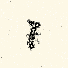 Br.CCCCc1nc(C)n(Cc2nc3ccccc3s2)c(=O)c1Cc1ccc(-c2ccccc2-c2noc(=O)[nH]2)cc1